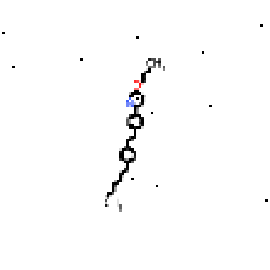 CCCCCCCc1ccc(CCc2ccc(-c3ccc(OCCCC)cn3)cc2)cc1